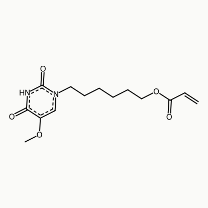 C=CC(=O)OCCCCCCn1cc(OC)c(=O)[nH]c1=O